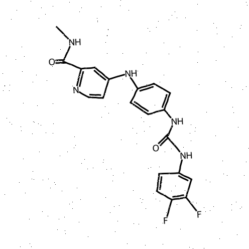 CNC(=O)c1cc(Nc2ccc(NC(=O)Nc3ccc(F)c(F)c3)cc2)ccn1